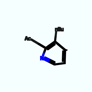 CCCCc1[c]ccnc1C(C)=O